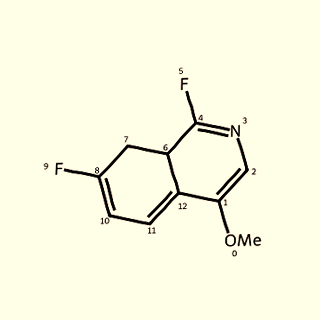 COC1=CN=C(F)C2CC(F)=CC=C12